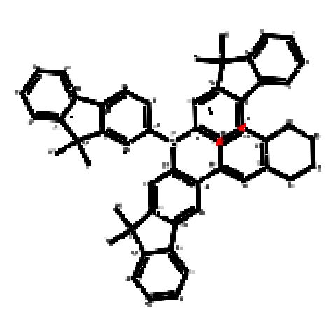 CC1(C)c2ccccc2-c2ccc(N(c3ccc4c(c3)C(C)(C)c3ccccc3-4)c3cc4c(cc3-c3ccc5c(c3)CCCC5)-c3ccccc3C4(C)C)cc21